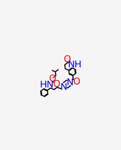 CC(C)COC(=O)NC(CCCN1CCN(C(=O)c2ccc3c(c2)CCC(=O)N3)CC1)c1ccccc1